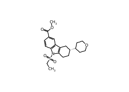 CCS(=O)(=O)n1c2c(c3cc(C(=O)OC)ccc31)C[C@H](C1CCOCC1)CC2